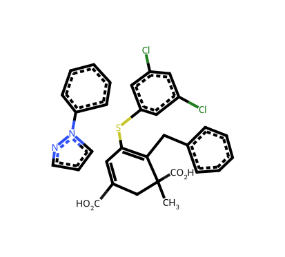 CC1(C(=O)O)CC(C(=O)O)=CC(Sc2cc(Cl)cc(Cl)c2)=C1Cc1ccccc1.c1ccc(-n2cccn2)cc1